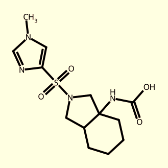 Cn1cnc(S(=O)(=O)N2CC3CCCCC3(NC(=O)O)C2)c1